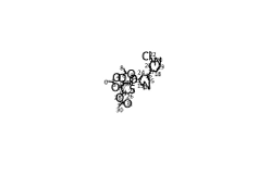 CC(=O)O[C@@H]1[C@@H](OC(C)=O)[C@@H](Oc2cncc(-c3ccnc(Cl)c3)c2)SC[C@H]1OC(C)=O